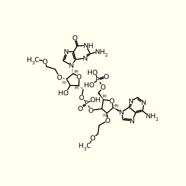 COCCO[C@H]1C(O)[C@@H](COP(=O)(O)OC2[C@@H](COP(=O)(O)O)O[C@@H](n3cnc4c(N)ncnc43)[C@H]2OCCOC)O[C@H]1n1cnc2c(=O)[nH]c(N)nc21